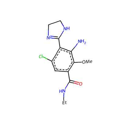 CCNC(=O)c1cc(Cl)c(C2=NCCN2)c(N)c1OC